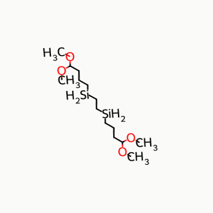 COC(CCC[SiH2]CC[SiH2]CCCC(OC)OC)OC